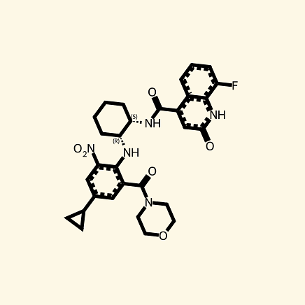 O=C(N[C@H]1CCCC[C@H]1Nc1c(C(=O)N2CCOCC2)cc(C2CC2)cc1[N+](=O)[O-])c1cc(=O)[nH]c2c(F)cccc12